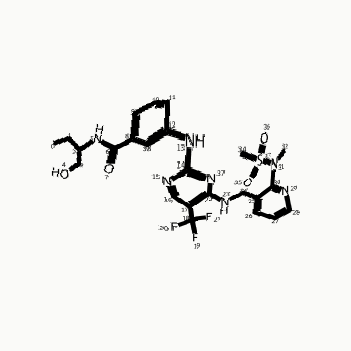 CCC(CO)NC(=O)c1cccc(Nc2ncc(C(F)(F)F)c(NCc3cccnc3N(C)S(C)(=O)=O)n2)c1